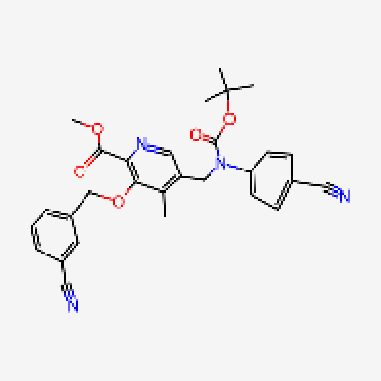 COC(=O)c1ncc(CN(C(=O)OC(C)(C)C)c2ccc(C#N)cc2)c(C)c1OCc1cccc(C#N)c1